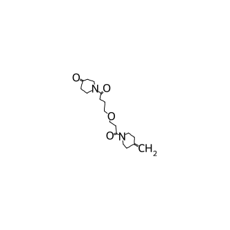 C=C1CCN(C(=O)CCOCCCC(=O)N2CCC(=O)CC2)CC1